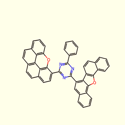 c1ccc(-c2nc(-c3ccc4ccc5ccc6cccc7c6c5c4c3O7)nc(-c3cc4ccccc4c4oc5c6ccccc6ccc5c34)n2)cc1